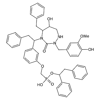 COc1cc(CN2NCC(O)C(Cc3ccccc3)N(C(Cc3ccccc3)c3cccc(OCP(=O)(O)OC(Cc4ccccc4)c4ccccc4)c3)C2=O)ccc1O